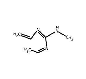 C=C/N=C(\N=C/C)NC